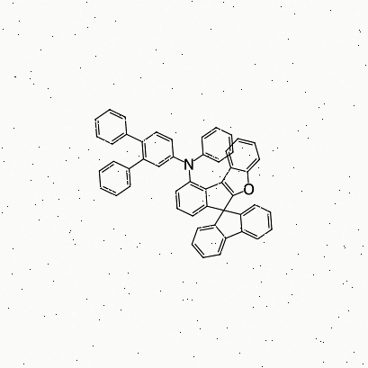 c1ccc(-c2ccc(N(c3ccccc3)c3cccc4c3-c3c(oc5ccccc35)C43c4ccccc4-c4ccccc43)cc2-c2ccccc2)cc1